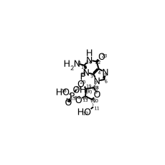 Nc1nc2c(ncn2[C@@H]2O[C@H](CO)[C@@H](OP(=O)(O)O)[C@H]2OF)c(=O)[nH]1